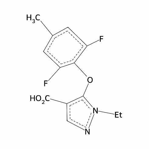 CCn1ncc(C(=O)O)c1Oc1c(F)cc(C)cc1F